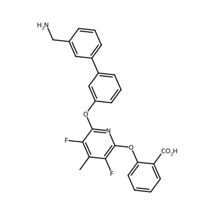 Cc1c(F)c(Oc2cccc(-c3cccc(CN)c3)c2)nc(Oc2ccccc2C(=O)O)c1F